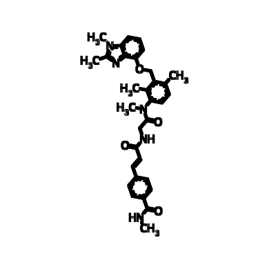 CNC(=O)c1ccc(C=CC(=O)NCC(=O)N(C)c2ccc(C)c(COc3cccc4c3nc(C)n4C)c2C)cc1